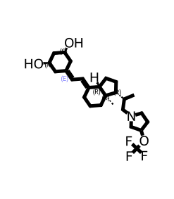 CC(CN1CCC(OC(F)(F)F)C1)[C@H]1CC[C@H]2C(=C/C=C3/C[C@@H](O)C[C@@H](O)C3)CCC[C@]12C